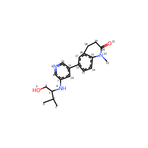 CC(C)C(CO)Nc1cncc(-c2ccc3c(c2)CCC(=O)N3C)c1